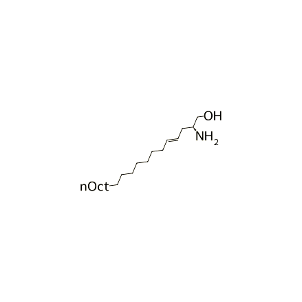 CCCCCCCCCCCCCCC/C=C/C[C@H](N)CO